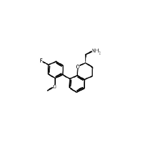 COc1cc(F)ccc1-c1cccc2c1O[C@@H](CN)CC2